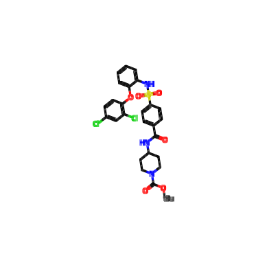 CC(C)(C)OC(=O)N1CCC(NC(=O)c2ccc(S(=O)(=O)Nc3ccccc3Oc3ccc(Cl)cc3Cl)cc2)CC1